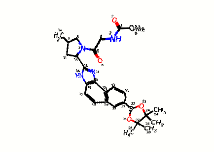 COC(=O)NCC(=O)N1CC(C)CC1c1nc2c(ccc3cc(B4OC(C)(C)C(C)(C)O4)ccc32)[nH]1